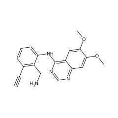 C#Cc1cccc(Nc2ncnc3cc(OC)c(OC)cc23)c1CN